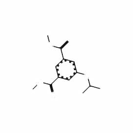 C=C(OC)c1cc(OC(C)C)cc(C(=O)OC)c1